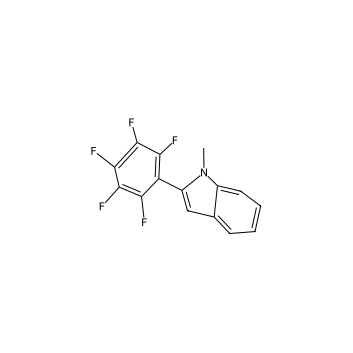 Cn1c(-c2c(F)c(F)c(F)c(F)c2F)cc2ccccc21